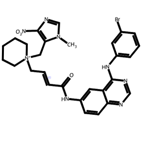 Cn1cnc([N+](=O)[O-])c1C[N+]1(C/C=C/C(=O)Nc2ccc3ncnc(Nc4cccc(Br)c4)c3c2)CCCCC1